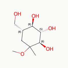 COC1(C)C[C@H](CO)[C@@H](O)[C@H](O)[C@H]1O